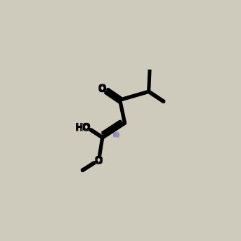 CO/C(O)=C/C(=O)C(C)C